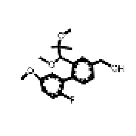 COc1ccc(F)c(-c2ccc(CO)cc2[C@@H](OC)C(C)(C)OC)c1